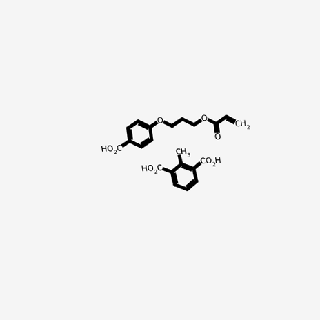 C=CC(=O)OCCCOc1ccc(C(=O)O)cc1.Cc1c(C(=O)O)cccc1C(=O)O